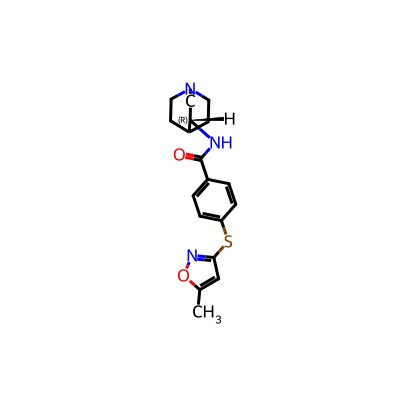 Cc1cc(Sc2ccc(C(=O)N[C@H]3CN4CCC3CC4)cc2)no1